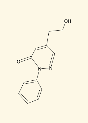 O=c1cc(CCO)cnn1-c1ccccc1